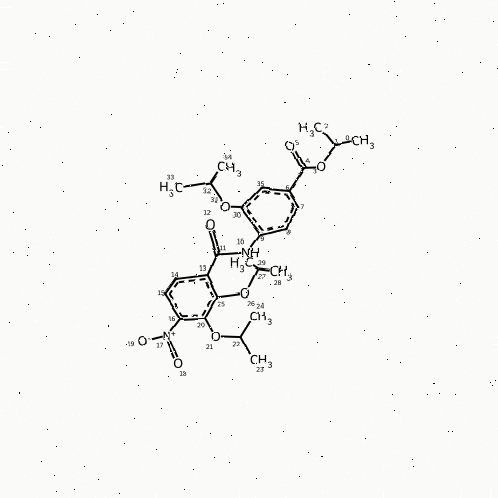 CC(C)OC(=O)c1ccc(NC(=O)c2ccc([N+](=O)[O-])c(OC(C)C)c2OC(C)C)c(OC(C)C)c1